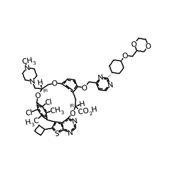 Cc1c(Cl)c2c(Cl)c(C)c1-c1c(C3CCC3)sc3ncnc(c13)O[C@@H](C(=O)O)Cc1cc(ccc1OCc1ccnc([C@H]3CC[C@H](OCC4COCCO4)CC3)n1)OC[C@@H](CN1CCN(C)CC1)O2